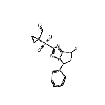 O=CC1(S(=O)(=O)c2nc3n(n2)[C@H](c2ccccc2)C[C@@H]3F)CC1